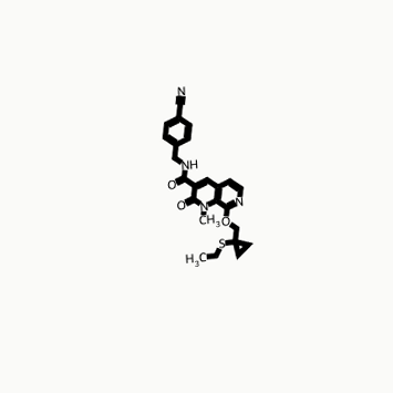 CCSC1(COc2nccc3cc(C(=O)NCc4ccc(C#N)cc4)c(=O)n(C)c23)CC1